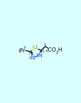 CC(C)c1nnc(CC(=O)O)s1